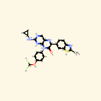 Cc1nc2ccc(-c3nc4cnc(NC5CC5)nc4n(-c4ccc(OC(F)F)cc4)c3=O)cc2s1